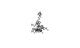 CC(OC(=O)CCCC[C@H]1CCSS1)OC(=O)N1CSC(C)(C)C1C(=O)O[Si](C)(C)C(C)(C)C